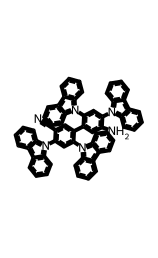 N#Cc1cc(-c2cc(N)c(-n3c4ccccc4c4ccccc43)cc2-n2c3ccccc3c3ccccc32)c(-n2c3ccccc3c3ccccc32)cc1-n1c2ccccc2c2ccccc21